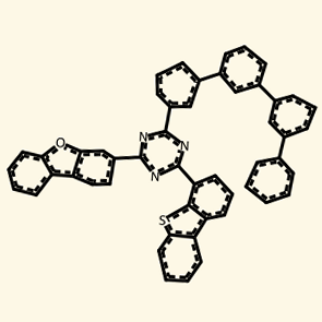 c1ccc(-c2cccc(-c3cccc(-c4cccc(-c5nc(-c6ccc7c(c6)oc6ccccc67)nc(-c6cccc7c6sc6ccccc67)n5)c4)c3)c2)cc1